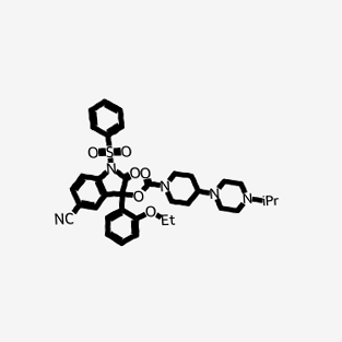 CCOc1ccccc1C1(OC(=O)N2CCC(N3CCN(C(C)C)CC3)CC2)C(=O)N(S(=O)(=O)c2ccccc2)c2ccc(C#N)cc21